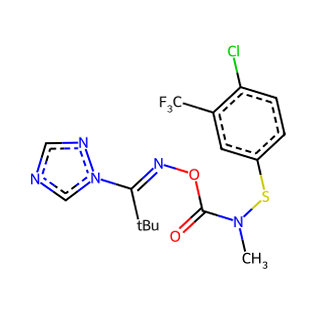 CN(Sc1ccc(Cl)c(C(F)(F)F)c1)C(=O)ON=C(n1cncn1)C(C)(C)C